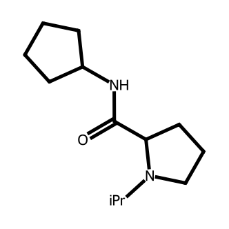 CC(C)N1CCCC1C(=O)NC1CCCC1